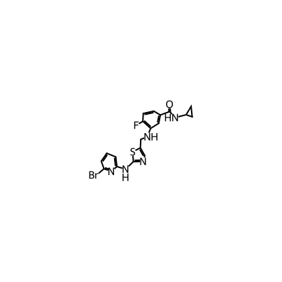 O=C(NC1CC1)c1ccc(F)c(NCc2cnc(Nc3cccc(Br)n3)s2)c1